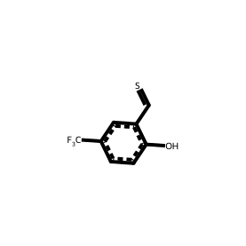 Oc1ccc(C(F)(F)F)cc1C=S